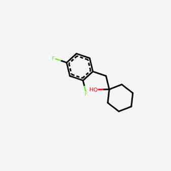 OC1(Cc2ccc(F)cc2F)CCCCC1